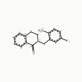 Cc1ccc(F)cc1CN1CCc2ccccc2C1=O